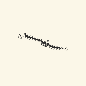 CCCCCCCCCCCCCOC(=O)CC(Br)C(=O)OCCCCCCCCCCCCC